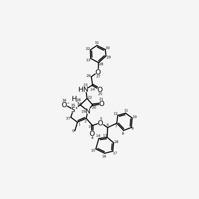 CC1=C(C(=O)OC(c2ccccc2)c2ccccc2)N2C(=O)C(NC(=O)COc3ccccc3)[C@@H]2[S+]([O-])C1